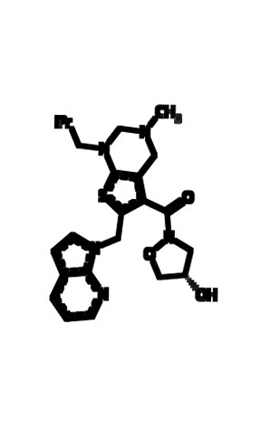 CC(C)CN1CN(C)Cc2c1sc(Cn1ccc3cccnc31)c2C(=O)N1C[C@H](O)CO1